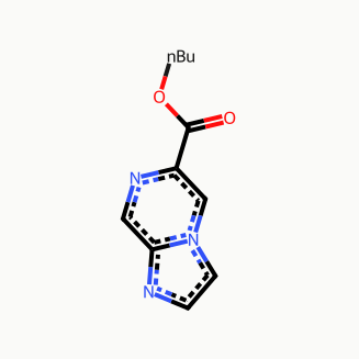 CCCCOC(=O)c1cn2ccnc2cn1